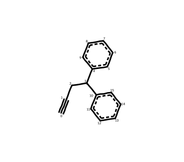 C#CC[C](c1ccccc1)c1ccccc1